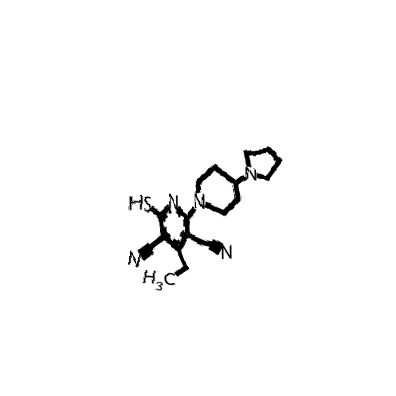 CCc1c(C#N)c(S)nc(N2CCC(N3CCCC3)CC2)c1C#N